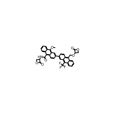 COc1c2ccccc2c(C(=O)NC2COC2=O)c2ccc(-c3ccc4c(COC5COC5=O)c5ccccc5c(C(F)(F)F)c4c3)cc12